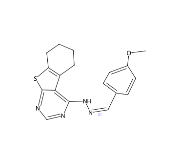 COc1ccc(/C=N\Nc2ncnc3sc4c(c23)CCCC4)cc1